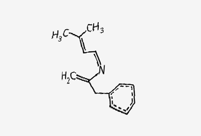 C=C(Cc1ccccc1)/N=C\C=C(C)C